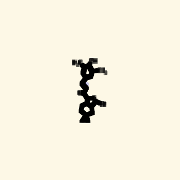 CCC1SC(C(=O)/C=C/c2cc(C)c(O)c(C)c2)=C2CCC3(CC3)CC21